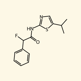 CC(C)c1cnc(NC(=O)C(F)c2ccccc2)s1